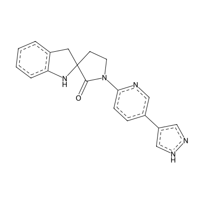 O=C1N(c2ccc(-c3cn[nH]c3)cn2)CCC12Cc1ccccc1N2